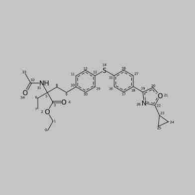 CCOC(=O)C(CC)(CCc1ccc(Sc2ccc(-c3coc(C4CC4)n3)cc2)cc1)NC(C)=O